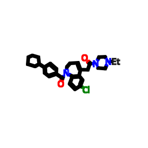 CCN1CCN(C(=O)CC2=CCCN(C(=O)c3ccc(C4CCCCC4)cc3)c3ccc(Cl)cc32)CC1